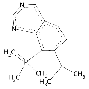 C=P(C)(C)c1c(C(C)C)ccc2cncnc12